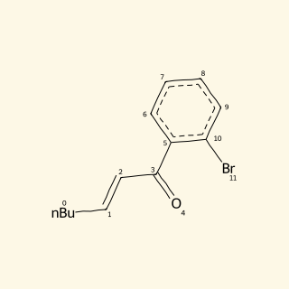 CCCC/C=C/C(=O)c1ccccc1Br